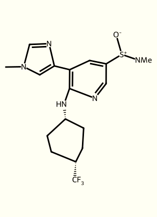 CN[S+]([O-])c1cnc(N[C@H]2CC[C@@H](C(F)(F)F)CC2)c(-c2cn(C)cn2)c1